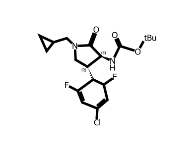 CC(C)(C)OC(=O)N[C@@H]1C(=O)N(CC2CC2)C[C@H]1C1C(F)=CC(Cl)=CC1F